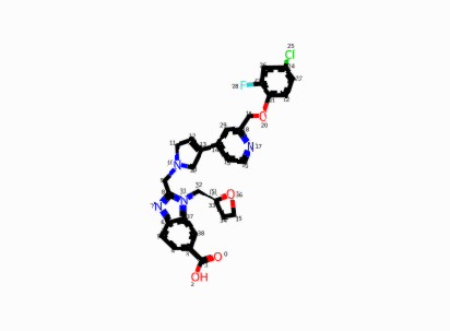 O=C(O)c1ccc2nc(CN3CC=C(c4ccnc(COc5ccc(Cl)cc5F)c4)C3)n(C[C@@H]3CCO3)c2c1